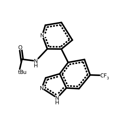 CC(C)(C)C(=O)Nc1ncccc1-c1cc(C(F)(F)F)cc2[nH]ncc12